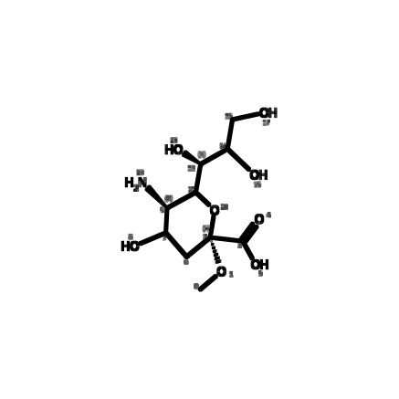 CO[C@]1(C(=O)O)CC(O)[C@@H](N)C([C@@H](O)C(O)CO)O1